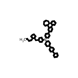 C=C/C=C\c1ccccc1Cc1ccc(N(c2ccc(-c3ccc(-c4ccccc4)cc3)cc2)c2ccc(-c3ccc(-c4ccccc4)c(C4=CCC=CCC4)c3)cc2)cc1